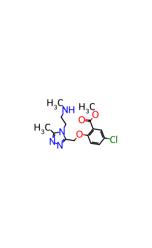 CNCCn1c(C)nnc1COc1ccc(Cl)cc1C(=O)OC